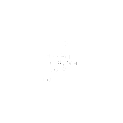 C=C(C)C(=O)N(C(C)OCCO)C(C)OCCO